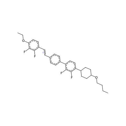 CCCCOC1CCC(c2ccc(-c3ccc(/C=C/c4ccc(OCC)c(F)c4F)cc3)c(F)c2F)CC1